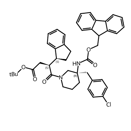 CC(C)(C)OC(=O)C[C@H](C(=O)N1CCC[C@](Cc2ccc(Cl)cc2)(NC(=O)OCC2c3ccccc3-c3ccccc32)C1)[C@@H]1CCc2ccccc21